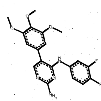 COc1cc(-c2cnc(N)nc2Nc2ccc(F)c(F)c2)cc(OC)c1OC